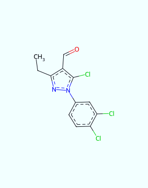 CCc1nn(-c2ccc(Cl)c(Cl)c2)c(Cl)c1C=O